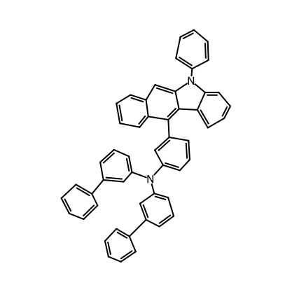 c1ccc(-c2cccc(N(c3cccc(-c4ccccc4)c3)c3cccc(-c4c5ccccc5cc5c4c4ccccc4n5-c4ccccc4)c3)c2)cc1